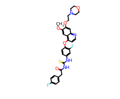 COc1cc2c(Oc3ccc(NC(=S)NC(=O)Cc4ccc(F)cc4)cc3F)ccnc2cc1OCCN1CCOCC1